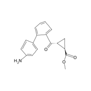 COC(=O)[C@@H]1C[C@H]1C(=O)c1ccccc1-c1ccc(N)cc1